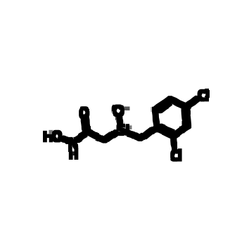 O=C(C[S+]([O-])Cc1ccc(Cl)cc1Cl)NO